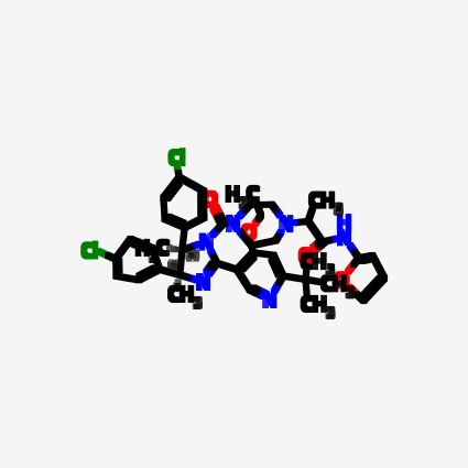 CCOc1cc(C(C)(C)C)ncc1C1=N[C@@](C)(c2ccc(Cl)cc2)[C@@](C)(c2ccc(Cl)cc2)N1C(=O)N1CCN(C(C)C(=O)Nc2ccco2)CC1